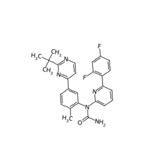 Cc1ccc(-c2ccnc(C(C)(C)C)n2)cc1N(C(N)=O)c1cccc(-c2ccc(F)cc2F)n1